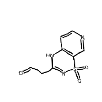 O=CCC1=NS(=O)(=O)c2cnccc2N1